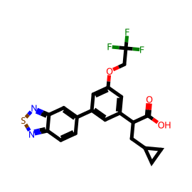 O=C(O)C(CC1CC1)c1cc(OCC(F)(F)F)cc(-c2ccc3nsnc3c2)c1